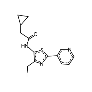 O=C(CC1CC1)Nc1sc(-c2cccnc2)nc1CI